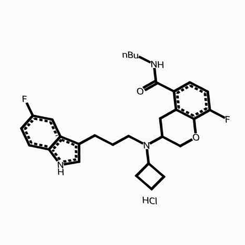 CCCCNC(=O)c1ccc(F)c2c1CC(N(CCCc1c[nH]c3ccc(F)cc13)C1CCC1)CO2.Cl